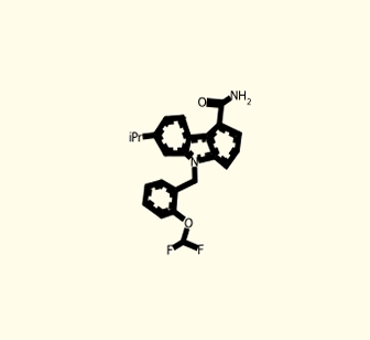 CC(C)c1c[c]c2c3c(C(N)=O)cccc3n(Cc3ccccc3OC(F)F)c2c1